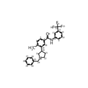 Cc1ccc(C(=O)Nc2cccc(C(F)(F)F)c2)cc1C1CCN(Cc2ccccc2)C1